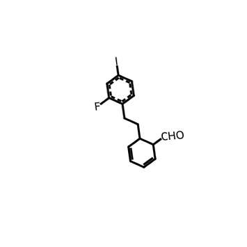 O=CC1C=CC=CC1CCc1ccc(I)cc1F